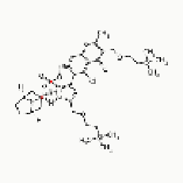 Cc1nc2ccc(-c3cn(COCC[Si](C)(C)C)c4nc(N5[C@@H]6CC[C@H]5C[C@@H](NC(=O)OC(C)(C)C)C6)cnc34)c(Cl)c2c(=O)n1COCC[Si](C)(C)C